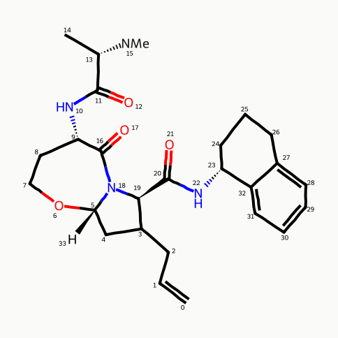 C=CCC1C[C@@H]2OCC[C@H](NC(=O)[C@H](C)NC)C(=O)N2[C@H]1C(=O)N[C@@H]1CCCc2ccccc21